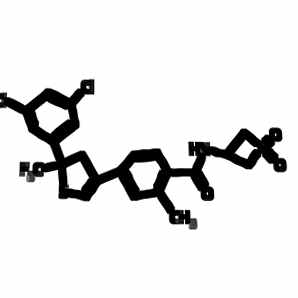 Cc1cc(C2=CSC(c3cc(Cl)cc(Cl)c3)(C(F)(F)F)C2)ccc1C(=O)NC1CS(=O)(=O)C1